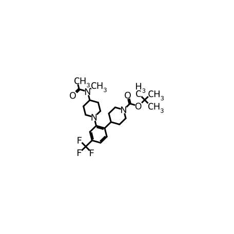 CC(=O)N(C)C1CCN(c2cc(C(F)(F)F)ccc2C2CCN(C(=O)OC(C)(C)C)CC2)CC1